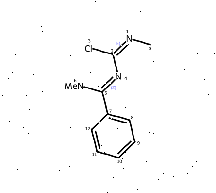 C/N=C(Cl)\N=C(/NC)c1ccccc1